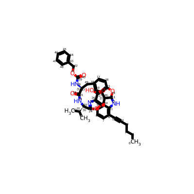 CCCCC#Cc1cccc2c1NC1Oc3ccc4cc3[C@]21c1oc(nc1C(=O)O)[C@H](C(C)C)NC(=O)[C@@H](NC(=O)OCc1ccccc1)C4